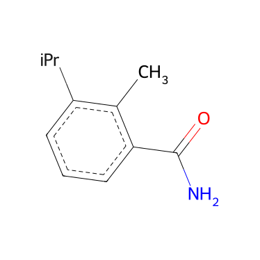 Cc1c(C(N)=O)cccc1C(C)C